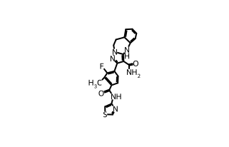 Cc1c(C(=O)Nc2cscn2)ccc(-c2nn3c(c2C(N)=O)Nc2ccccc2CC3)c1F